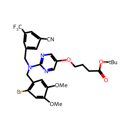 COc1cc(Br)c(CN(Cc2cc(C#N)cc(C(F)(F)F)c2)c2ncc(OCCCC(=O)OC(C)(C)C)cn2)cc1OC